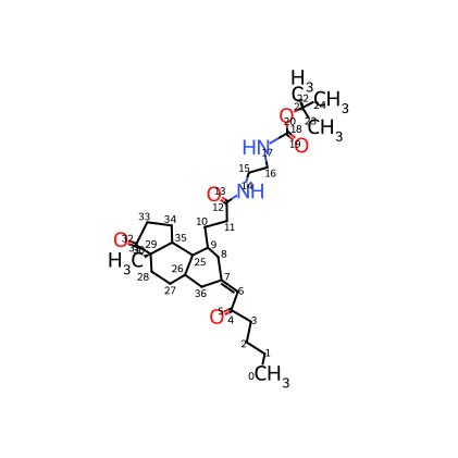 CCCCC(=O)/C=C1/CC(CCC(=O)NCCNC(=O)OC(C)(C)C)C2C(CC[C@]3(C)C(=O)CCC23)C1